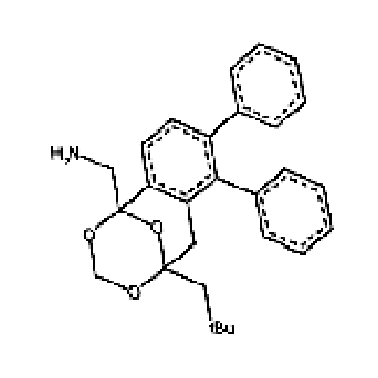 CC(C)(C)CC12Cc3c(ccc(-c4ccccc4)c3-c3ccccc3)C(CN)(OCO1)O2